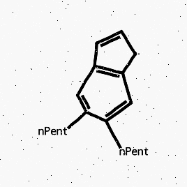 CCCCCc1cc2c(cc1CCCCC)C=C[CH]2